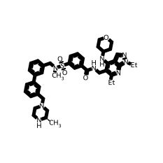 CCc1nc2c(cnn2CC)c(NC2CCOCC2)c1CNC(=O)c1cccc(S(=O)(=O)N(C)Cc2cccc(-c3cccc(CN4CCN[C@@H](C)C4)c3)c2)c1